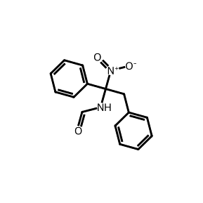 O=CNC(Cc1ccccc1)(c1ccccc1)[N+](=O)[O-]